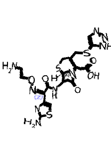 NCCO/N=C(\C(=O)NC1C(=O)N2C(C(=O)O)=C(CSc3cnn[nH]3)CS[C@H]12)c1csc(N)n1